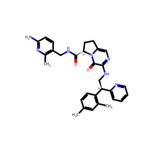 Cc1ccc([C@@H](CNc2ncc3n(c2=O)[C@H](C(=O)NCc2ccc(N)nc2C)CC3)c2ccccn2)c(C)c1